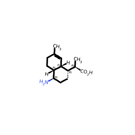 CC1=C[C@H]2[C@@H](CC1)[C@H](N)CC[C@H]2[C@@H](C)C(=O)O